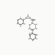 c1ccc(C2CC2NC2CCN(c3ncccn3)CC2)cc1